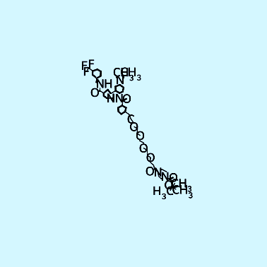 CCN(CC)c1ccc(NC(=O)c2cccc(CCCOCCOCCOCCOCCC(=O)N3CCN(C(=O)OC(C)(C)C)CC3)c2)c(-c2cc(C(=O)NCc3cccc(C(F)(F)F)c3)ccn2)c1